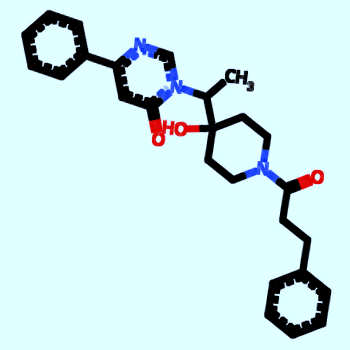 CC(n1cnc(-c2ccccc2)cc1=O)C1(O)CCN(C(=O)CCc2ccccc2)CC1